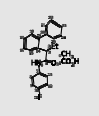 CC(=O)O.CCC(C(=O)Nc1ccc(F)cc1)c1ccccc1-c1ccccc1